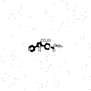 CCOC(=O)c1cc(-c2ccncc2)[nH]c1C1CCN(C(=O)OC(C)(C)C)CC1